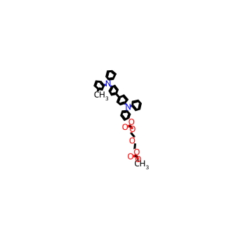 COC(=O)OCCOCCOC(=O)Oc1cccc(N(c2ccccc2)c2ccc(-c3ccc(N(c4ccccc4)c4cccc(C)c4)cc3)cc2)c1